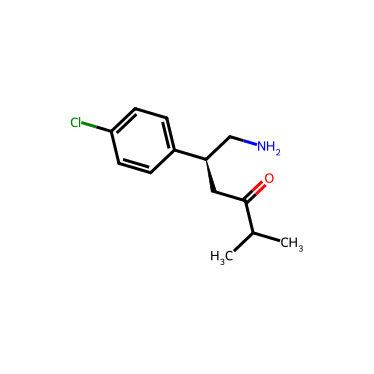 CC(C)C(=O)C[C@H](CN)c1ccc(Cl)cc1